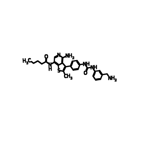 CCCCC(=O)Nc1cnc(N)c2c(-c3ccc(NC(=O)Nc4cccc(CN)c4)cc3)c(C)sc12